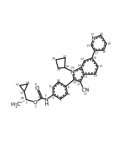 C[C@@H](OC(=O)Nc1ccc(-c2c(C#N)c3ccc(-c4cccnc4)cc3n2C2CCC2)cc1)C1CC1